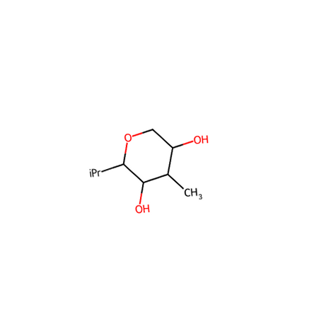 CC(C)C1OCC(O)C(C)C1O